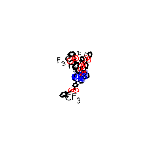 O=C(OCc1ccccc1C(F)(F)F)c1ccc(/C2=c3\cc/c4n3Nn3c(ccc3/C(c3ccc(C(=O)Oc5ccccc5C(F)(F)F)cc3)=C3/C=CC(=N3)/C=4c3ccc(C(=O)Oc4ccccc4C(F)(F)F)cc3)/C(c3ccc(C(=O)Oc4ccccc4C(F)(F)F)cc3)=C3/C=CC2=N3)cc1